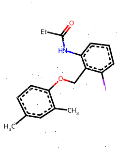 CCC(=O)Nc1cccc(I)c1COc1ccc(C)cc1C